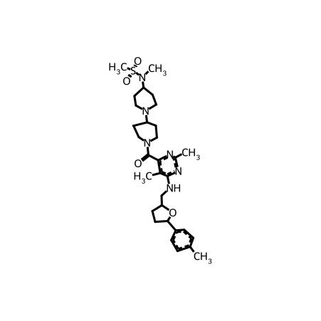 Cc1ccc(C2CCC(CNc3nc(C)nc(C(=O)N4CCC(N5CCC(N(C)S(C)(=O)=O)CC5)CC4)c3C)O2)cc1